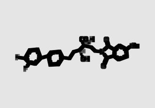 CC(C)(C)c1ccc2c(c1)C(=O)N(CC[C@H](C(=O)O)[C@H](O)CCc1ccc(-c3ccc(F)c(F)c3)cc1)C2=O